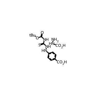 CC(C)(C)OC(=O)NC(=S)NNc1ccc(C(=O)O)cc1.NNC(=O)O